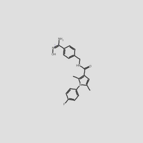 Cc1cc(C(=O)NCc2ccc(/C(N)=N\O)cc2)c(C)n1-c1ccc(F)cc1